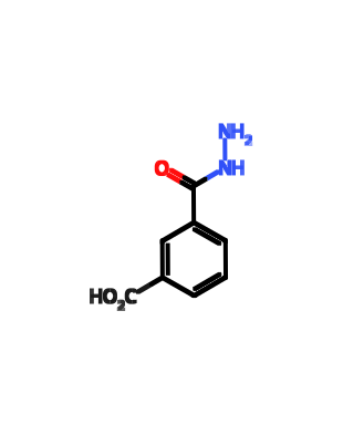 NNC(=O)c1cccc(C(=O)O)c1